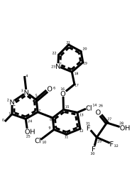 Cc1nn(C)c(=O)c(-c2c(Cl)ccc(Cl)c2OCc2ccccn2)c1O.O=C(O)C(F)(F)F